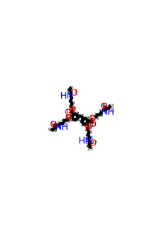 C=CC(=O)NCCCCOC(=O)c1cc(Cc2ccc(OCCCCNC(=O)C=C)c(C(=O)OCCCCNC(=O)C=C)c2)ccc1OCCCCNC(=O)C=C